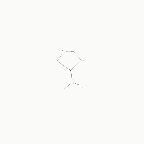 CN(N)C1CCNC1